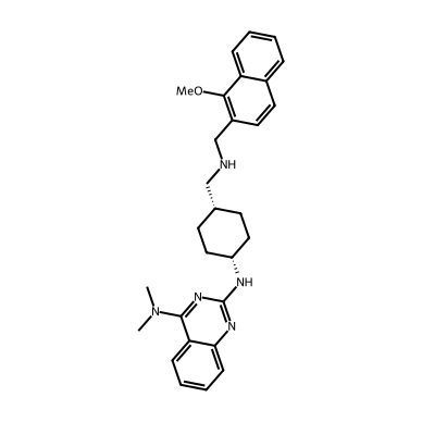 COc1c(CNC[C@H]2CC[C@@H](Nc3nc(N(C)C)c4ccccc4n3)CC2)ccc2ccccc12